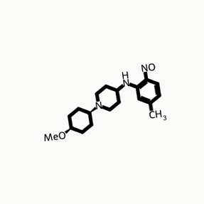 CO[C@H]1CC[C@@H](N2CCC(Nc3cc(C)ccc3N=O)CC2)CC1